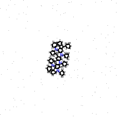 c1ccc(C2c3ccccc3-c3c2cc2c4c3N(c3ccccc3)c3ccccc3B4c3cc4c(cc3N2c2ccccc2)N(c2ccccc2)c2cc3c(c5c2B4c2ccccc2N5c2ccccc2)c2ccccc2n3-c2ccccc2)cc1